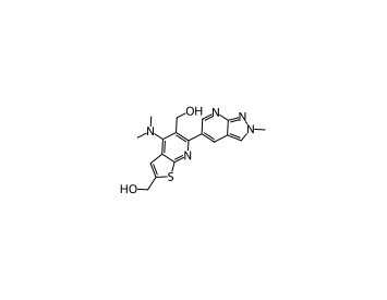 CN(C)c1c(CO)c(-c2cnc3nn(C)cc3c2)nc2sc(CO)cc12